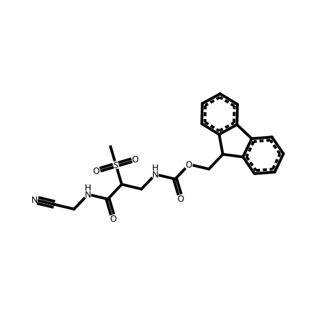 CS(=O)(=O)C(CNC(=O)OCC1c2ccccc2-c2ccccc21)C(=O)NCC#N